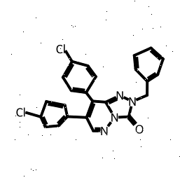 O=c1n(Cc2ccccc2)nc2c(-c3ccc(Cl)cc3)c(-c3ccc(Cl)cc3)cnn12